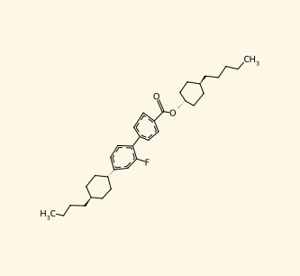 CCCCC[C@H]1CC[C@H](OC(=O)c2ccc(-c3ccc([C@H]4CC[C@H](CCCC)CC4)cc3F)cc2)CC1